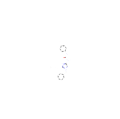 O=C(Nc1ccc(OC(F)(F)F)cc1)Nc1cn(Cc2ccccc2)c(OC(=O)O)n1